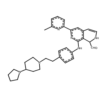 Cc1cccc(-c2cc3c(c(Nc4ccc(CCN5CCC(N6CCCC6)CC5)cc4)n2)C(C=O)NC=C3)n1